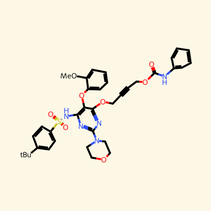 COc1ccccc1Oc1c(NS(=O)(=O)c2ccc(C(C)(C)C)cc2)nc(N2CCOCC2)nc1OCC#CCOC(=O)Nc1ccccc1